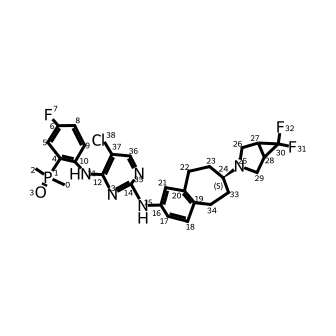 CP(C)(=O)c1cc(F)ccc1Nc1nc(Nc2ccc3c(c2)CC[C@@H](N2CC4C(C2)C4(F)F)CC3)ncc1Cl